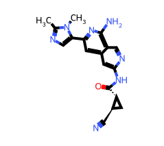 Cc1ncc(-c2cc3cc(NC(=O)[C@@H]4C[C@H]4C#N)ncc3c(N)n2)n1C